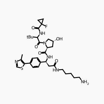 Cc1ncsc1-c1ccc([C@H](CC(=O)NCCCCCN)NC(=O)[C@@H]2C[C@@H](O)CN2C(=O)C(NC(=O)C2(F)CC2)C(C)(C)C)cc1